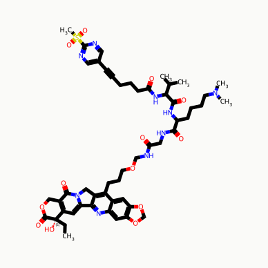 CC[C@@]1(O)C(=O)OCc2c1cc1n(c2=O)Cc2c-1nc1cc3c(cc1c2CCCOCNC(=O)CNC(=O)C(CCCCN(C)C)NC(=O)C(NC(=O)CCCC#Cc1cnc(S(C)(=O)=O)nc1)C(C)C)OCO3